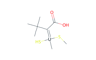 C[S][U]([CH3])([SH])=[C](C(=O)O)C(C)(C)C